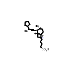 O=C(O)CCC/C=C1\C[C@@H]2[C@@H](C#CC(O)C3CCCC3)[C@H](O)CC[C@H]12